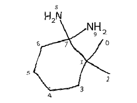 CC1(C)C[CH]CCC1(N)N